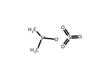 C[S+](C)[O-].O=S(=O)=O